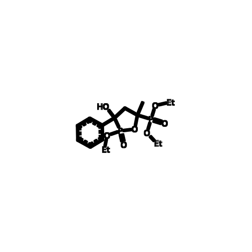 CCOP(=O)(OCC)C1(C)CC(O)(c2ccccc2)P(=O)(OCC)O1